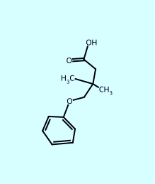 CC(C)(COc1ccccc1)CC(=O)O